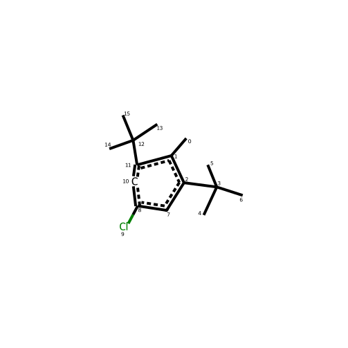 Cc1c(C(C)(C)C)cc(Cl)cc1C(C)(C)C